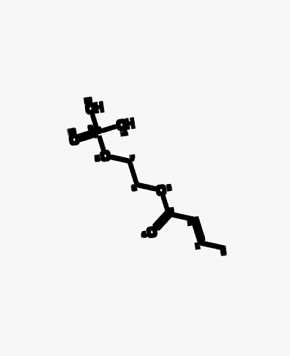 CC=CC(=O)OCCOP(=O)(O)O